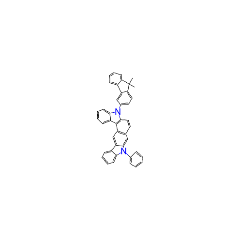 CC1(C)c2ccccc2-c2cc(-n3c4ccccc4c4c5cc6c7ccccc7n(-c7ccccc7)c6cc5ccc43)ccc21